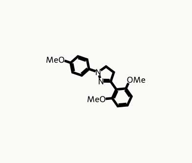 COc1ccc(N2CCC(c3c(OC)cccc3OC)=N2)cc1